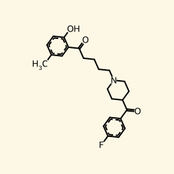 Cc1ccc(O)c(C(=O)CCCCN2CCC(C(=O)c3ccc(F)cc3)CC2)c1